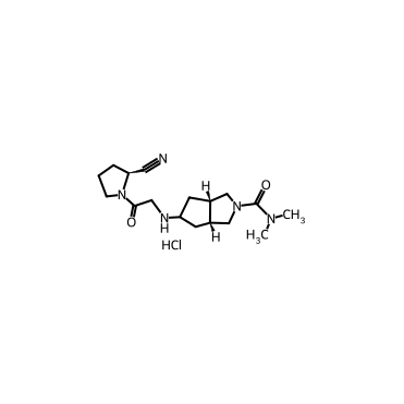 CN(C)C(=O)N1C[C@H]2CC(NCC(=O)N3CCC[C@H]3C#N)C[C@H]2C1.Cl